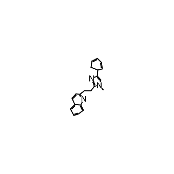 Cn1cc(C2C=CC=CC2)nc1CCc1ccc2ccccc2n1